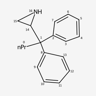 CCCC(c1ccccc1)(c1ccccc1)C1CN1